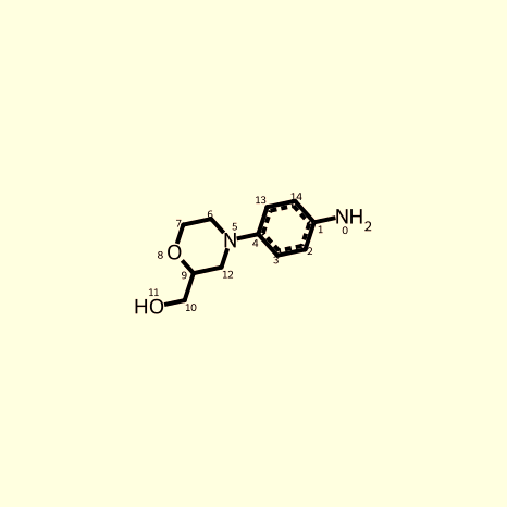 Nc1ccc(N2CCOC(CO)C2)cc1